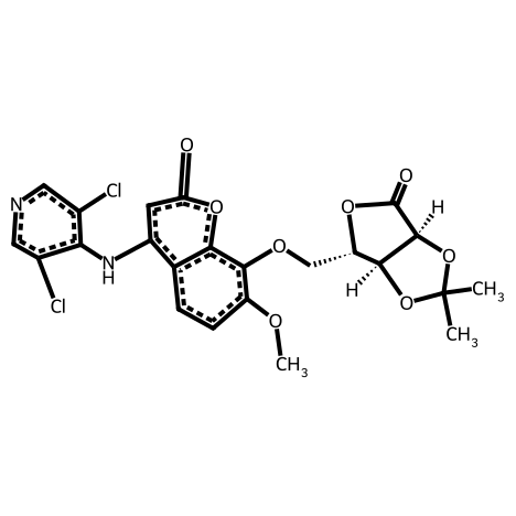 COc1ccc2c(Nc3c(Cl)cncc3Cl)cc(=O)oc2c1OC[C@@H]1OC(=O)[C@H]2OC(C)(C)O[C@@H]12